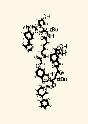 Cc1ncsc1-c1ccc([C@H](C)NC(=O)[C@@H]2C[C@@H](O)CN2C(=O)[C@@H](NC(=O)CCCCNC(=O)COc2ccc3c(c2)CN(C(=O)[C@@H](NC(=O)c2cc4cc(C(F)(F)P(=O)(O)O)ccc4s2)C(C)(C)C)[C@H](C(=O)N2CCC[C@H](c4ccccc4)C2)C3)C(C)(C)C)cc1